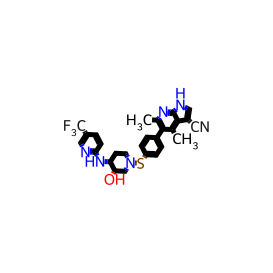 Cc1nc2[nH]cc(C#N)c2c(C)c1-c1ccc(SN2CCC(Nc3ccc(C(F)(F)F)cn3)C(O)C2)cc1